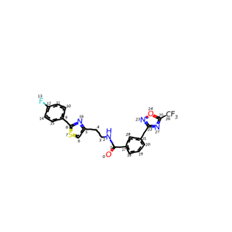 O=C(NCCc1csc(-c2ccc(F)cc2)n1)c1cccc(-c2noc(C(F)(F)F)n2)c1